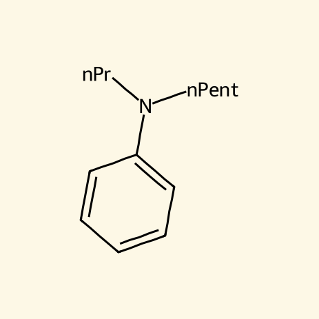 CCCCCN(CCC)c1ccccc1